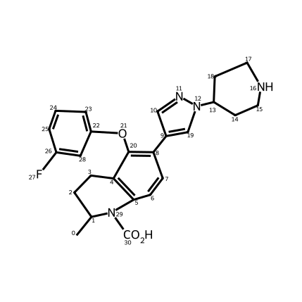 CC1CCc2c(ccc(-c3cnn(C4CCNCC4)c3)c2Oc2cccc(F)c2)N1C(=O)O